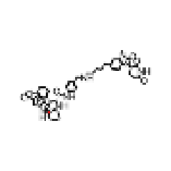 Cn1c(=O)n(C2CCC(=O)NC2=O)c2ccc(CCCCCNCc3ccc(NC(=O)[C@@H]4NC5(CCCCC5)[C@@]5(C(=O)Nc6cc(Cl)ccc65)[C@H]4c4cccc(Cl)c4F)cc3)cc21